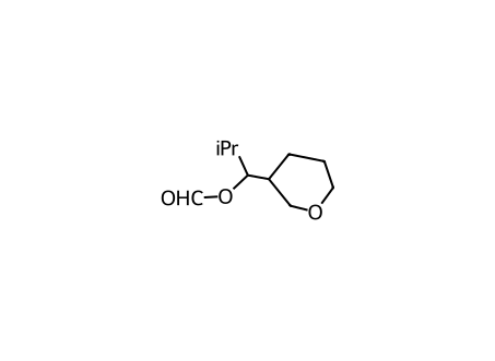 CC(C)C(OC=O)C1CCCOC1